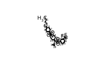 CCCCOc1ccc(S(=O)(=O)N2CCC(N(C3CC3)S(=O)(=O)c3cccc(C(F)(F)F)c3)CC2)cc1